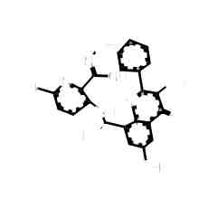 Cc1cc([C@@H](C)Nc2ccc(Cl)nc2/C(N)=N/O)c2oc(-c3ccccc3)c(C)c(=O)c2c1